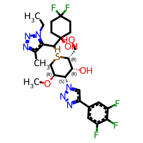 CCn1nnc(C)c1C([SH]1C[C@H](OC)[C@@H](n2cc(-c3cc(F)c(F)c(F)c3)nn2)[C@@H](O)[C@H]1CO)C1(O)CCC(F)(F)CC1